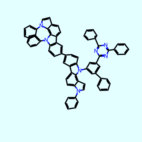 c1ccc(-c2cc(-c3nc(-c4ccccc4)nc(-c4ccccc4)n3)cc(-n3c4ccc(-c5ccc6c(c5)c5ccc7ccn(-c8ccccc8)c7c5n6-c5ccccc5)cc4c4ccc5c(ccn5-c5ccccc5)c43)c2)cc1